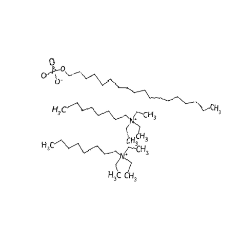 CCCCCCCCCCCCCCCCCCOP(=O)([O-])[O-].CCCCCCCC[N+](CC)(CC)CC.CCCCCCCC[N+](CC)(CC)CC